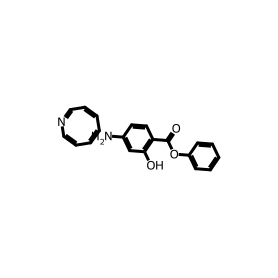 C1=CC=CN=CC=C1.Nc1ccc(C(=O)Oc2ccccc2)c(O)c1